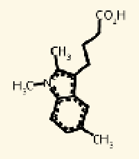 Cc1ccc2c(c1)c(CCCC(=O)O)c(C)n2C